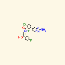 Nc1nc2cc(-c3ccc(Cl)c(C(=O)NCC(F)(F)C(O)c4ccc(F)cc4)c3F)ccn2n1